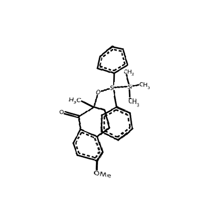 COc1ccc2c(c1)CCC(C)(O[Si](c1ccccc1)(c1ccccc1)[Si](C)(C)C)C2=O